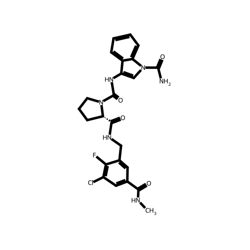 CNC(=O)c1cc(Cl)c(F)c(CNC(=O)[C@@H]2CCCN2C(=O)Nc2cn(C(N)=O)c3ccccc23)c1